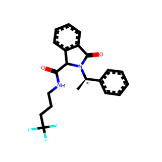 C[C@H](c1ccccc1)N1C(=O)c2ccccc2C1C(=O)NCCCC(F)(F)F